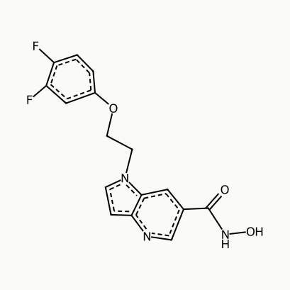 O=C(NO)c1cnc2ccn(CCOc3ccc(F)c(F)c3)c2c1